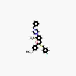 O=C(O)c1ccc(C(=O)/C(=C\c2ccc(N3CCN(Cc4ccccc4)CC3)c([N+](=O)[O-])c2)SCc2ccc(F)cc2)cc1